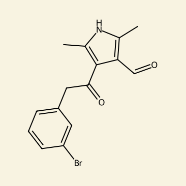 Cc1[nH]c(C)c(C(=O)Cc2cccc(Br)c2)c1C=O